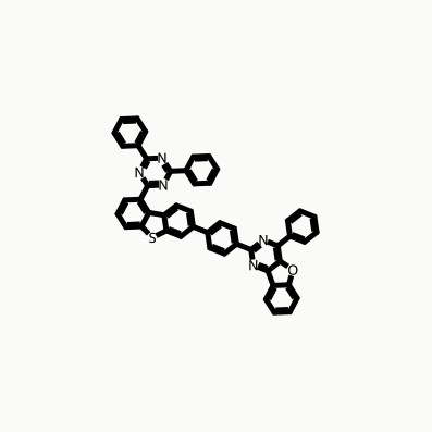 c1ccc(-c2nc(-c3ccccc3)nc(-c3cccc4sc5cc(-c6ccc(-c7nc(-c8ccccc8)c8oc9ccccc9c8n7)cc6)ccc5c34)n2)cc1